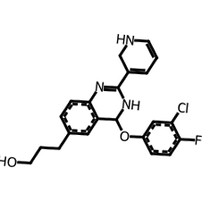 OCCCc1ccc2c(c1)C(Oc1ccc(F)c(Cl)c1)NC(C1=CC=CNC1)=N2